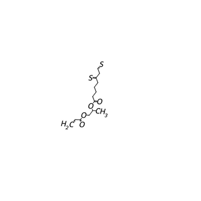 C=CC(=O)OCC(C)OC(=O)CCCCC(=S)CC=S